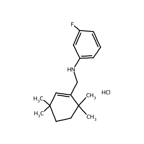 CC1(C)C=C(CNc2cccc(F)c2)C(C)(C)CC1.Cl